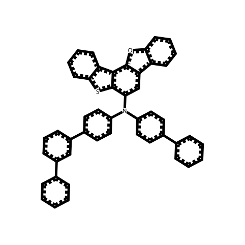 c1ccc(-c2ccc(N(c3ccc(-c4cccc(-c5ccccc5)c4)cc3)c3cc4c5ccccc5oc4c4c3sc3ccccc34)cc2)cc1